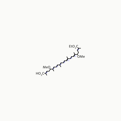 CCOC(=O)/C(C)=C/CC(OC)/C(C)=C/C=C/C(C)=C/C=C/C=C(C)/C=C/C=C(\C)C(C/C=C(\C)C(=O)O)OC